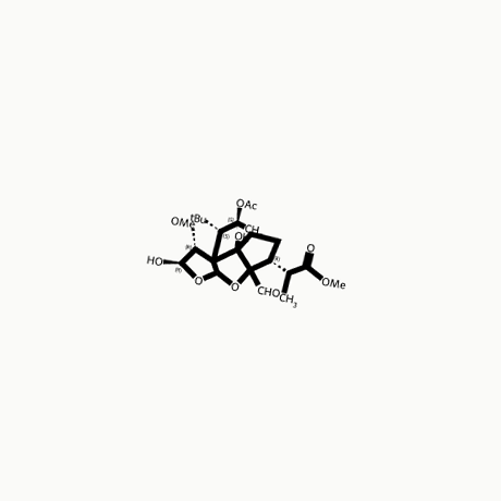 COC(=O)C(C)[C@H]1CCC2(O)C1(C=O)OC1O[C@@H](O)[C@H](OC)C12[C@@H]([C@H](C)OC(C)=O)C(C)(C)C